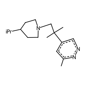 Cc1cc(C(C)(C)CN2CCC(C(C)C)CC2)cnn1